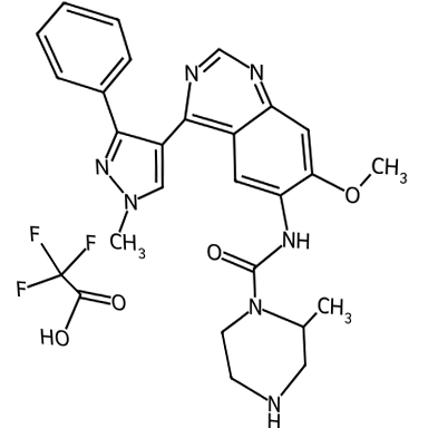 COc1cc2ncnc(-c3cn(C)nc3-c3ccccc3)c2cc1NC(=O)N1CCNCC1C.O=C(O)C(F)(F)F